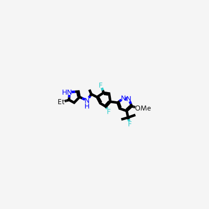 CCC1CC(NC(C)c2cc(F)c(-c3cc(C(C)(C)F)c(OC)nn3)cc2F)=CN1